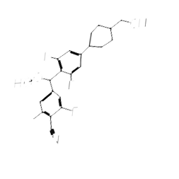 CCC1CCC(c2cc(F)c(C(OO)c3cc(F)c(C#N)c(F)c3)c(F)c2)CC1